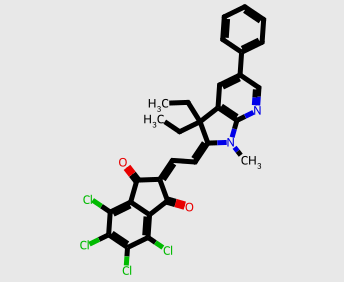 CCC1(CC)/C(=C\C=C2C(=O)c3c(Cl)c(Cl)c(Cl)c(Cl)c3C2=O)N(C)c2ncc(-c3ccccc3)cc21